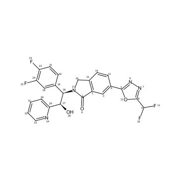 O=C1c2cc(-c3nnc(C(F)F)o3)ccc2CN1[C@H](c1ccc(F)c(F)c1)[C@@H](O)c1ccccn1